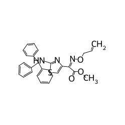 C=CCON=C(C(=O)OC)c1csc(NC(c2ccccc2)(c2ccccc2)c2ccccc2)n1